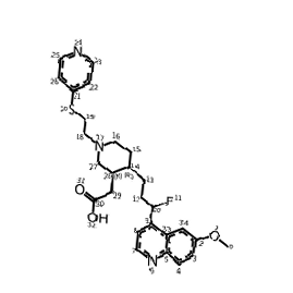 COc1ccc2nccc(C(F)CC[C@@H]3CCN(CCSc4ccncc4)C[C@@H]3CC(=O)O)c2c1